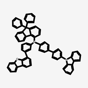 c1ccc(C2(c3ccccc3)c3ccccc3-c3c(N(c4ccc(-c5ccc(-n6c7ccccc7c7ccccc76)cc5)cc4)c4cccc(-c5cccc6c5oc5ccccc56)c4)cccc32)cc1